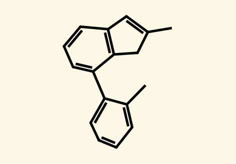 CC1=Cc2cccc(-c3ccccc3C)c2C1